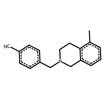 Cc1cccc2c1CCN(Cc1ccc(C#N)cc1)C2